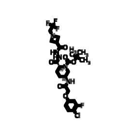 CC(C)(C)OC(=O)N1C[C@@H](NC(=O)COc2ccc(Cl)c(F)c2)CC[C@@H]1C(=O)NNC(=O)C1CN(CC(F)(F)F)C1